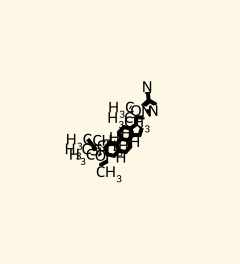 CCC[C@@]1(O[Si](C)(C)C(C)(C)C)CC[C@H]2[C@H](CC[C@@H]3[C@@H]2CC[C@@]2(C)[C@H]3CC[C@@H]2[C@](C)(Cn2cc(C#N)cn2)OC)C1